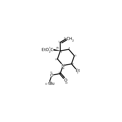 C=C[C@]1(C(=O)OCC)CCC(CC)N(C(=O)OC(C)(C)C)C1